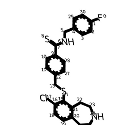 Fc1ccc(CNC(=S)c2ccc(CSc3c(Cl)ccc4c3CCNCC4)cc2)cc1